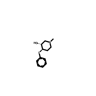 CN1CC[C@@H](Sc2ccccc2)[C@H](O)C1